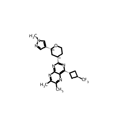 Cc1nc2nc([C@H]3CCO[C@@H](c4cnn(C)c4)C3)nc([C@H]3C[C@H](C(F)(F)F)C3)c2nc1C